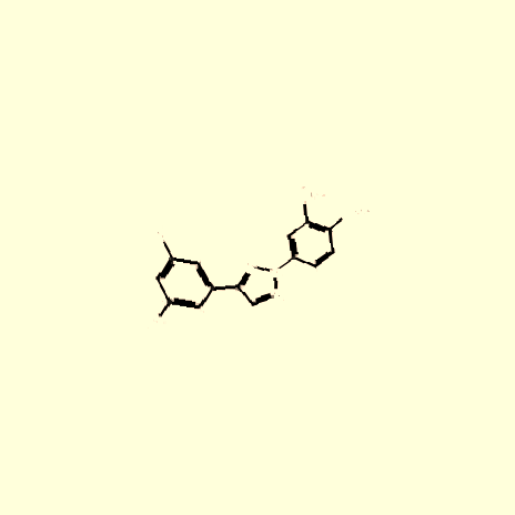 COc1ccc(-n2ncc(-c3cc([N+](=O)[O-])cc([N+](=O)[O-])c3)n2)cc1OC